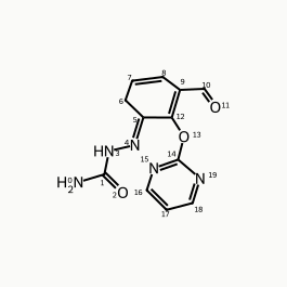 NC(=O)NN=C1CC=CC(C=O)=C1Oc1ncccn1